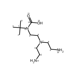 CC(C)(C)N(CCN(CCN)CCN)C(=O)O